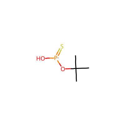 CC(C)(C)O[P](O)=S